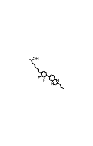 C=CCc1cnc2cc(-c3ccc(/C=C/CCCC(C)O)c(F)c3F)ccc2n1